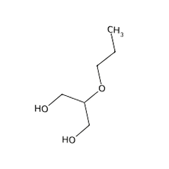 CCCOC(CO)CO